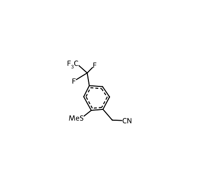 CSc1cc(C(F)(F)C(F)(F)F)ccc1CC#N